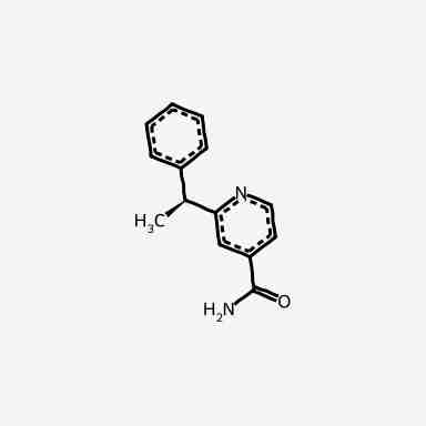 C[C@@H](c1ccccc1)c1cc(C(N)=O)ccn1